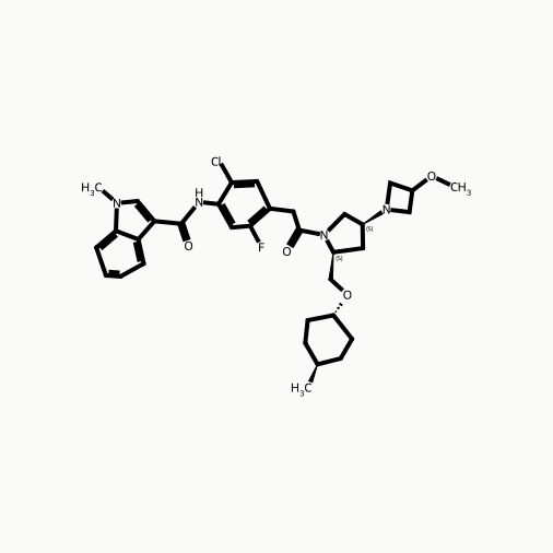 COC1CN([C@H]2C[C@@H](CO[C@H]3CC[C@H](C)CC3)N(C(=O)Cc3cc(Cl)c(NC(=O)c4cn(C)c5ccccc45)cc3F)C2)C1